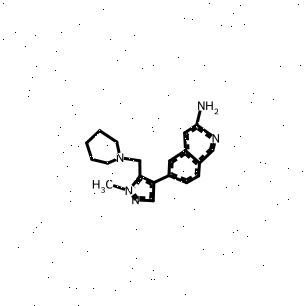 Cn1ncc(-c2ccc3cnc(N)cc3c2)c1CN1CCCCC1